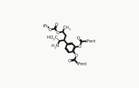 CCCC(C)C(=O)Oc1ccc(C(CC(C)OC(=O)OC(C)C)[C@H](N)C(=O)O)cc1OC(=O)C(C)CCC